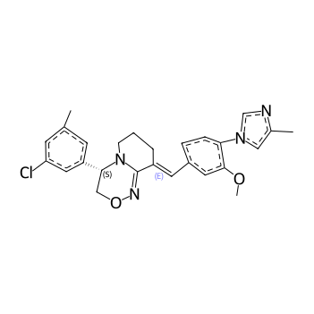 COc1cc(/C=C2\CCCN3C2=NOC[C@@H]3c2cc(C)cc(Cl)c2)ccc1-n1cnc(C)c1